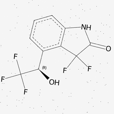 O=C1Nc2cccc([C@@H](O)C(F)(F)F)c2C1(F)F